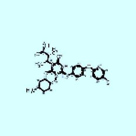 C[C@@H](C(=O)O)[C@H](C)n1c(=O)[nH]/c(=N\c2ccc(Oc3ccc(F)cn3)cc2)n(C[C@H]2CC[C@H](C)CC2)c1=O